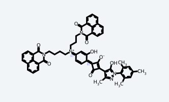 Cc1cc(C)c(-n2nc(C)c(C3=C([O-])/C(=C4C=C/C(=[N+](\CCCCN5C(=O)c6cccc7cccc(c67)C5=O)CCCN5C(=O)c6cccc7cccc(c67)C5=O)C=C/4O)C3=O)c2O)c(C)c1